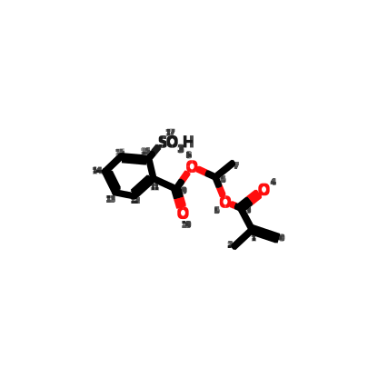 C=C(C)C(=O)OC(C)OC(=O)c1ccccc1S(=O)(=O)O